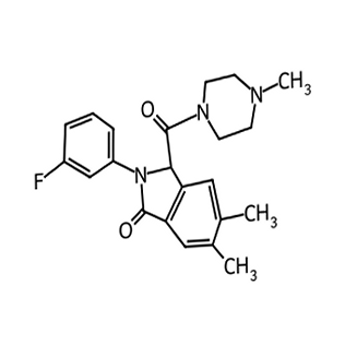 Cc1cc2c(cc1C)C(C(=O)N1CCN(C)CC1)N(c1cccc(F)c1)C2=O